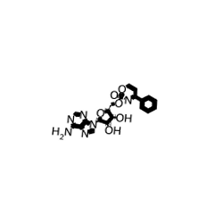 Nc1ncnc2c1ncn2[C@@H]1O[C@H](COP2(=O)N=C(c3ccccc3)C=CO2)[C@@H](O)[C@@H]1O